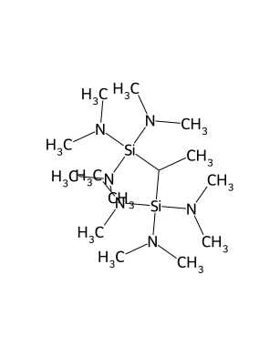 CC([Si](N(C)C)(N(C)C)N(C)C)[Si](N(C)C)(N(C)C)N(C)C